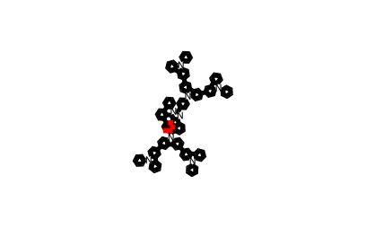 c1ccc(-c2cccc(-c3ccccc3)c2-c2nc(-c3ccc(-n4c5ccc(-c6ccc7c(c6)c6ccccc6n7-c6ccccc6)cc5c5cc(-c6ccc7c(c6)c6ccccc6n7-c6ccccc6)ccc54)cc3)nc3c2-c2ccc(-n4c5ccc(-c6ccc7c(c6)c6ccccc6n7-c6ccccc6)cc5c5cc(-c6ccc7c(c6)c6ccccc6n7-c6ccccc6)ccc54)c4cccc-3c24)cc1